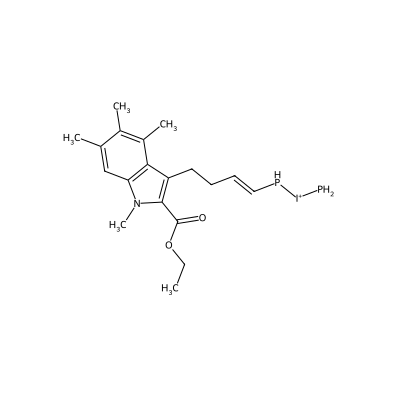 CCOC(=O)c1c(CC/C=C/P[I+]P)c2c(C)c(C)c(C)cc2n1C